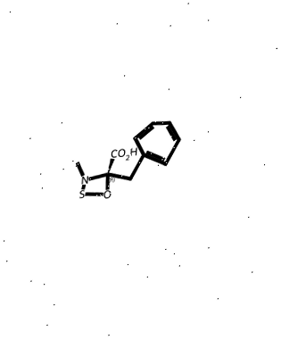 CN1SO[C@]1(Cc1ccccc1)C(=O)O